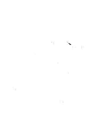 O=C(O)[C@@H]1CCCN1S(=O)(=O)c1cc(Br)cc(Br)c1O